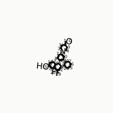 O=CC1CCN(c2ccc([C@H]3c4ccc(O)cc4C(F)(F)C[C@H]3C3CCCCC3)cc2)CC1